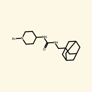 CC(=O)N1CCC(NC(=O)NCC23CC4CC(CC(C4)C2)C3)CC1